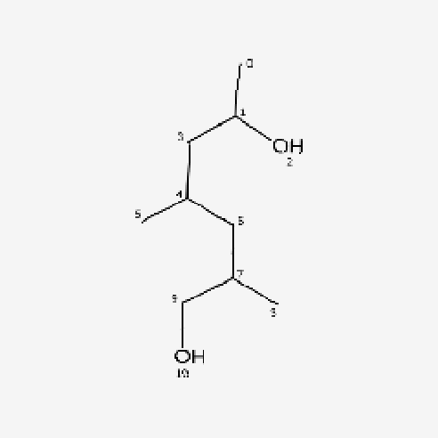 CC(O)CC(C)CC(C)CO